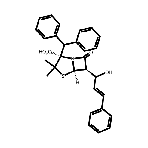 CC1(C)S[C@@H]2[C@H](C(O)/C=C/c3ccccc3)C(=O)N2[C@]1(C(=O)O)C(c1ccccc1)c1ccccc1